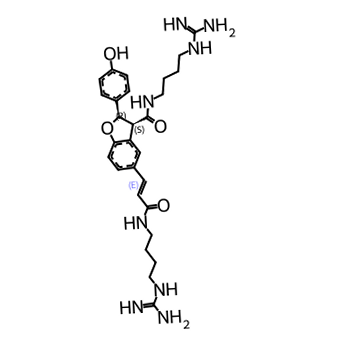 N=C(N)NCCCCNC(=O)/C=C/c1ccc2c(c1)[C@H](C(=O)NCCCCNC(=N)N)[C@H](c1ccc(O)cc1)O2